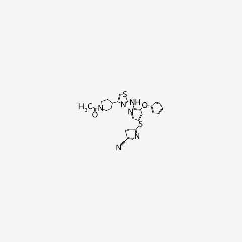 CC(=O)N1CCC(c2csc(Nc3ncc(Sc4ccc(C#N)cn4)cc3Oc3ccccc3)n2)CC1